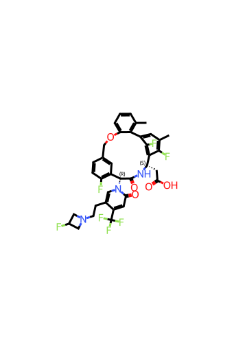 Cc1cc2c(F)c(c1F)[C@H](CC(=O)O)NC(=O)[C@H](n1cc(CCN3CC(F)C3)c(C(F)(F)F)cc1=O)c1cc(ccc1F)COc1cccc(C)c1-2